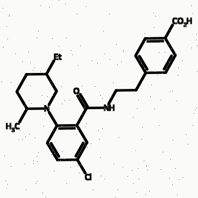 CCC1CCC(C)N(c2ccc(Cl)cc2C(=O)NCCc2ccc(C(=O)O)cc2)C1